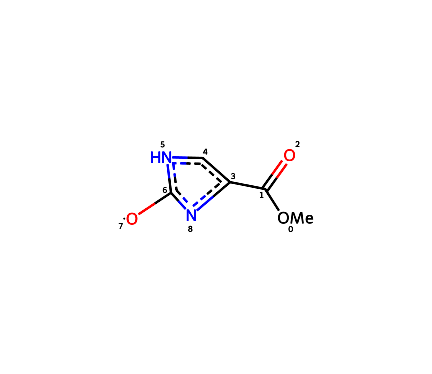 COC(=O)c1c[nH]c([O])n1